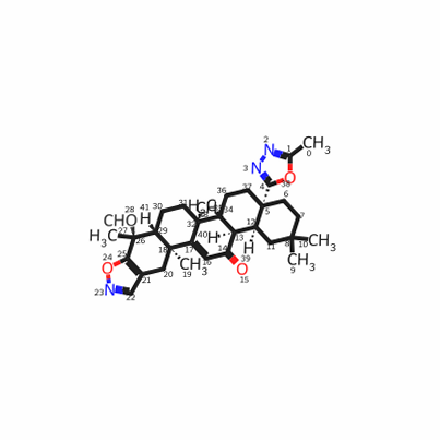 Cc1nnc([C@]23CCC(C)(C)C[C@H]2[C@H]2C(=O)C=C4[C@@]5(C)Cc6cnoc6[C@@](C)(C=O)[C@@H]5CC[C@@]4(C)[C@]2(C)CC3)o1